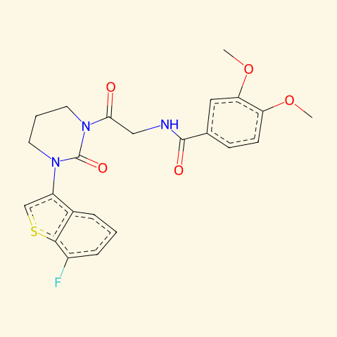 COc1ccc(C(=O)NCC(=O)N2CCCN(c3csc4c(F)cccc34)C2=O)cc1OC